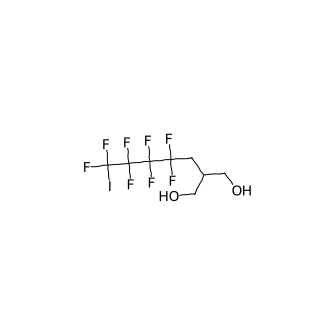 OCC(CO)CC(F)(F)C(F)(F)C(F)(F)C(F)(F)I